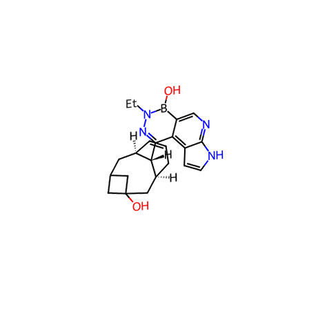 CCN1N=C([C@@H]2[C@H]3CC=C[C@@H]2CC2CC(O)(C2)C3)c2c(cnc3[nH]ccc23)B1O